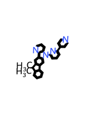 CC1(C)c2ccccc2-c2cc3c(cc21)c1ncccc1n3-c1cccc(-c2ccncc2)n1